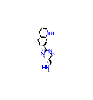 C\N=C(/N=C\C=C\NC)c1ccc2c(c1)NCCC2